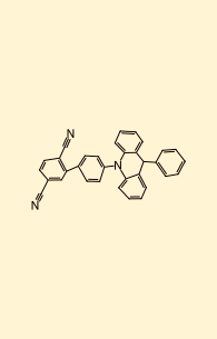 N#Cc1ccc(C#N)c(-c2ccc(N3c4ccccc4C(c4ccccc4)c4ccccc43)cc2)c1